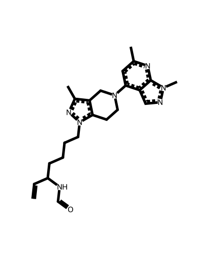 C=CC(CCCCn1nc(C)c2c1CCN(c1cc(C)nc3c1cnn3C)C2)NC=O